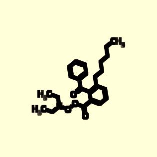 CCCCCCc1cccc(C(=O)OON(CC)CC)c1C(=O)c1ccccc1